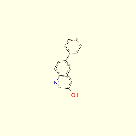 Oc1cnc2ccc(-c3ccccc3)cc2c1